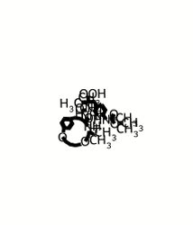 CC(C)[C@H]1COCCCCOc2ccc(cc2)C[C@@H](NC(=O)NC(Cc2ccc(NC(=O)OC(C)(C)C)nc2)(C(=O)O)C(C)(C)C)C(=O)N1